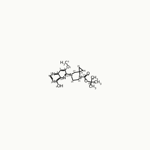 COc1cc2ncnc(O)c2nc1N1CCN(C(=O)OC(C)(C)C)C2(CC2)C1